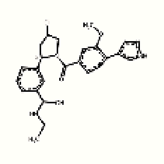 CCNC(O)c1cccc([C@H]2CC(O)CN2C(=O)c2ccc(-c3cn[nH]c3)c(OC)c2)c1